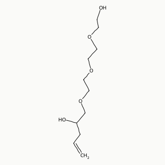 C=CCC(O)COCCOCCOCCO